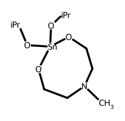 CC(C)[O][Sn]1([O]C(C)C)[O]CCN(C)CC[O]1